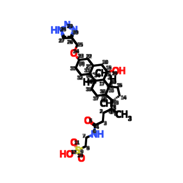 C[C@@H](CCC(=O)NCCS(=O)(=O)O)[C@H]1CC[C@H]2C3[C@H](O)CC4C[C@H](OCc5c[nH]nn5)CC[C@]4(C)[C@H]3CC[C@]12C